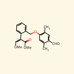 CO/C=C(\C(=O)OC)c1ccccc1COc1cc(C)c(C=O)cc1C